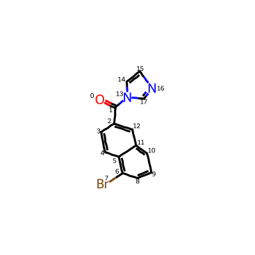 O=C(c1ccc2c(Br)cccc2c1)n1ccnc1